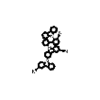 N#Cc1ccc2c(c1)c1ccccc1n2-c1ccc2c(c1)c1cc(C#N)ccc1n2-c1ccccc1-c1cccc(C#N)c1-n1c2ccccc2c2ccccc21